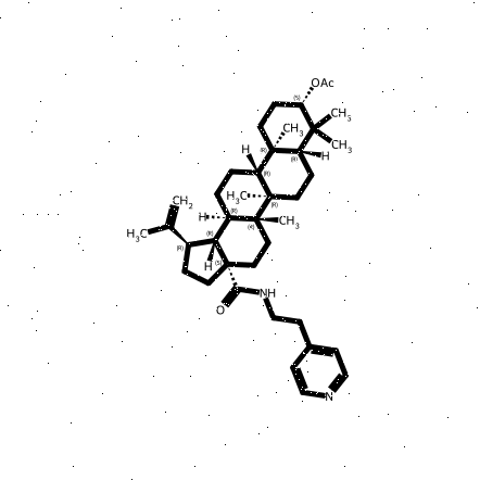 C=C(C)[C@@H]1CC[C@]2(C(=O)NCCc3ccncc3)CC[C@]3(C)[C@H](CC[C@@H]4[C@@]5(C)CC[C@H](OC(C)=O)C(C)(C)[C@@H]5CC[C@]43C)[C@@H]12